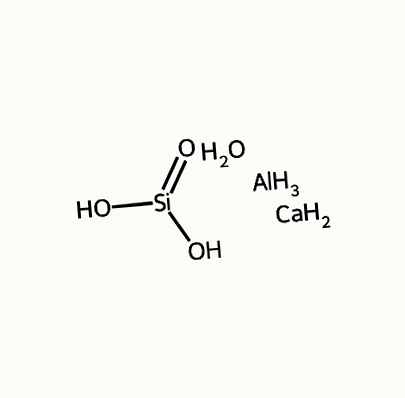 O.O=[Si](O)O.[AlH3].[CaH2]